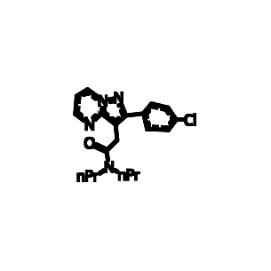 CCCN(CCC)C(=O)Cc1c(-c2ccc(Cl)cc2)nn2cccnc12